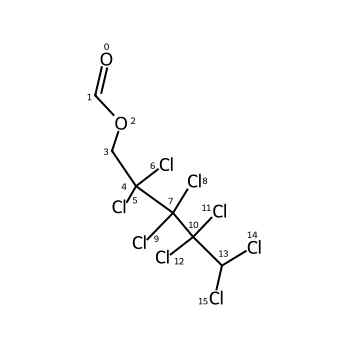 O=COCC(Cl)(Cl)C(Cl)(Cl)C(Cl)(Cl)C(Cl)Cl